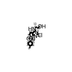 Cc1ccc(S(=O)(=O)n2ccc3c(N[C@H](C)CO)nc(Cl)nc32)cc1